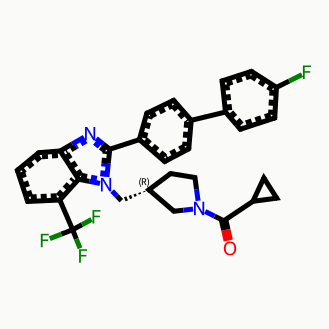 O=C(C1CC1)N1CC[C@@H](Cn2c(-c3ccc(-c4ccc(F)cc4)cc3)nc3cccc(C(F)(F)F)c32)C1